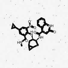 CNC(=O)c1cc(C2CC2)cc([N+](=O)[O-])c1N[C@@H]1CC2CC2C[C@@H]1NC(=O)c1cc(=O)[nH]c2ccccc12